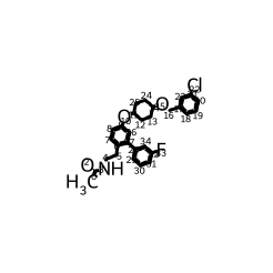 CC(=O)NCCc1ccc(OC2CCC(OCc3cccc(Cl)c3)CC2)cc1-c1cccc(F)c1